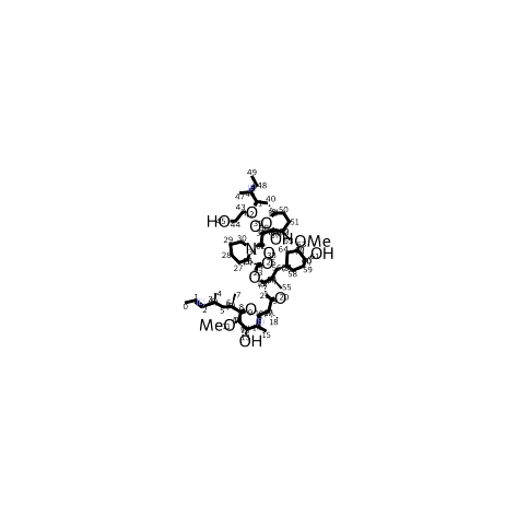 C/C=C/[C@@H](C)C[C@@H](C)C(=O)[C@H](OC)[C@H](O)/C(C)=C/[C@@H](C)C(=O)C[C@H](OC(=O)[C@@H]1CCCCN1C(=O)C(=O)[C@]1(O)O[C@H](CC(OCCO)/C(C)=C/C)CC[C@H]1C)[C@H](C)C[C@@H]1CC[C@@H](O)[C@H](OC)C1